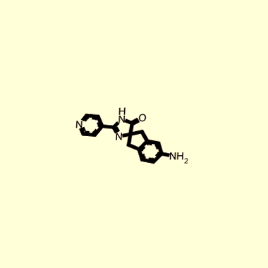 Nc1ccc2c(c1)CC1(C2)N=C(c2ccncc2)NC1=O